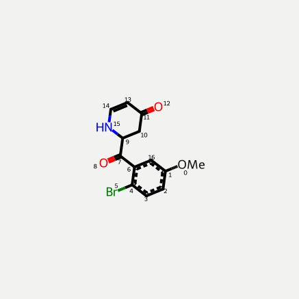 COc1ccc(Br)c(C(=O)C2CC(=O)C=CN2)c1